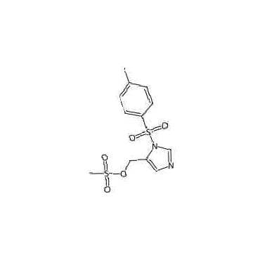 Cc1ccc(S(=O)(=O)n2cncc2COS(C)(=O)=O)cc1